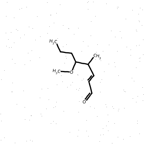 CCCC(OC)C(C)/C=C/C=O